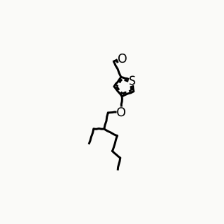 CCCCC(CC)COc1csc(C=O)c1